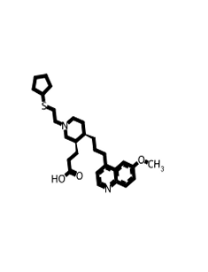 COc1ccc2nccc(CCC[C@@H]3CCN(CCSC4CCCC4)C[C@@H]3CCC(=O)O)c2c1